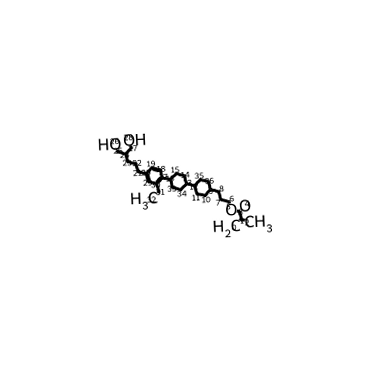 C=C(C)C(=O)OCCCC1CCC(C2CCC(c3ccc(CCCC(CO)CO)cc3CC)CC2)CC1